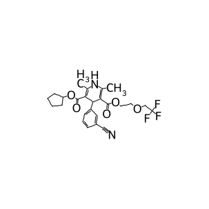 CC1=C(C(=O)OCCOCC(F)(F)F)C(c2cccc(C#N)c2)C(C(=O)OC2CCCC2)=C(C)N1